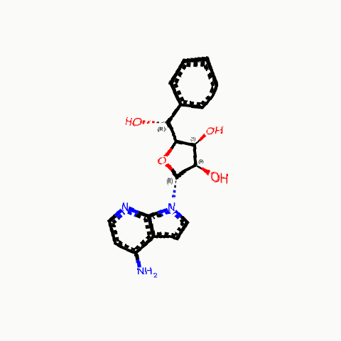 Nc1ccnc2c1ccn2[C@@H]1OC([C@H](O)c2ccccc2)[C@@H](O)[C@H]1O